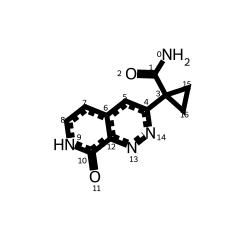 NC(=O)C1(c2cc3cc[nH]c(=O)c3nn2)CC1